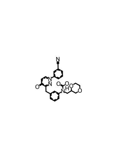 N#Cc1cccc(-n2ccc(=O)c(Cc3cccc(N(CC4COCCO4)C(=O)O)c3)n2)c1